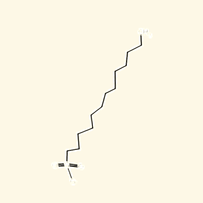 CCCCCCCCCCCCCS([O])(=O)=O